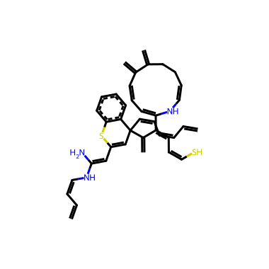 C=C/C=C\C=C/C1(C(=C)C(=C\C=C/S)/C2=C/C=C\C(=C)C(=C)CC/C=C\N2)C=C(/C=C(\N)N/C=C\C=C)Sc2ccccc21